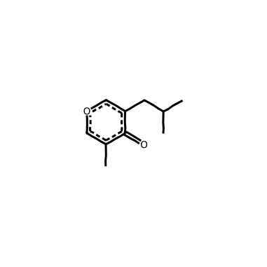 Cc1cocc(CC(C)C)c1=O